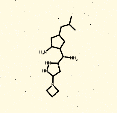 CC(C)CC1CC(N)C(C(N)C2CC(N3CCC3)NN2)C1